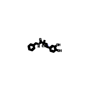 CC(C#N)(/C=C/c1ccc(O)c(O)c1)C(=O)NCc1ccccc1